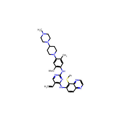 C=Cc1cnc(Nc2cc(C)c(N3CCC(N4CCN(C)CC4)CC3)cc2OC)nc1Nc1ccc2nccnc2c1SC(C)C